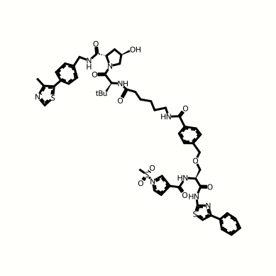 Cc1ncsc1-c1ccc(CNC(=O)[C@@H]2C[C@@H](O)CN2C(=O)[C@@H](NC(=O)CCCCCNC(=O)c2ccc(COC[C@H](NC(=O)c3ccn(S(C)(=O)=O)c3)C(=O)Nc3nc(-c4ccccc4)cs3)cc2)C(C)(C)C)cc1